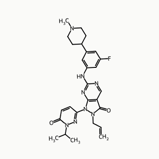 C=CCn1c(=O)c2cnc(Nc3cc(F)cc(C4CCN(C)CC4)c3)nc2n1-c1ccc(=O)n(C(C)C)n1